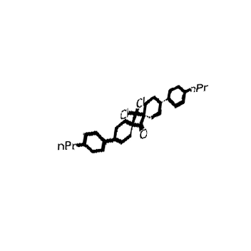 CCCC1CCC(C2CC[C@]3(CC2)C(=O)[C@@]2(CC[C@@H](C4CCC(CCC)CC4)CC2)C3(Cl)Cl)CC1